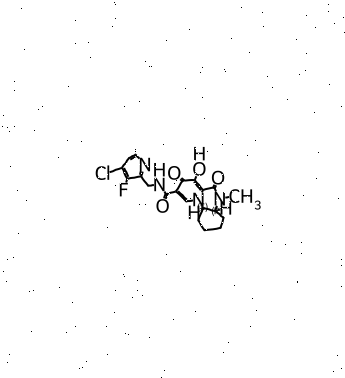 CN1C(=O)c2c(O)c(=O)c(C(=O)NCc3nccc(Cl)c3F)cn2[C@H]2CCCC[C@H]21